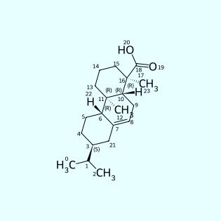 CC(C)[C@H]1CC[C@H]2C(=CC[C@@H]3[C@]2(C)CCC[C@@]3(C)C(=O)O)C1